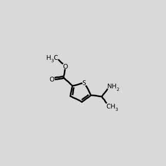 COC(=O)c1ccc(C(C)N)s1